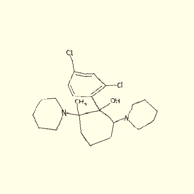 CC1(N2CCCCC2)CCCC(N2CCCCC2)C1(O)c1ccc(Cl)cc1Cl